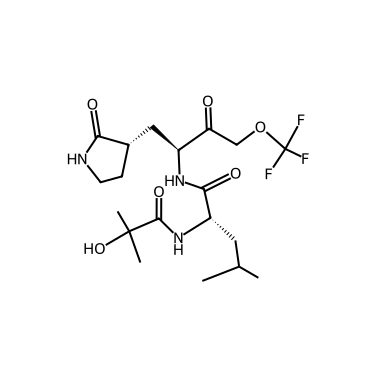 CC(C)C[C@H](NC(=O)C(C)(C)O)C(=O)N[C@@H](C[C@@H]1CCNC1=O)C(=O)COC(F)(F)F